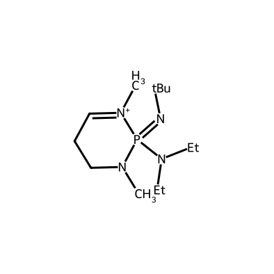 CCN(CC)P1(=NC(C)(C)C)N(C)CCC=[N+]1C